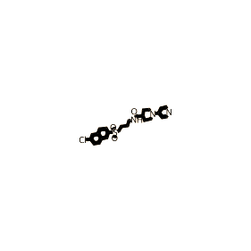 O=C(NCCCCS(=O)(=O)c1ccc2cc(Cl)ccc2c1)C1CCN(c2ccncc2)CC1